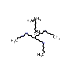 CCC/C=C/C=C\CCCC(CCC/C=C\CCCCC)C(CCC/C=C\CCCCC)OC(=O)CCCCN(C)C